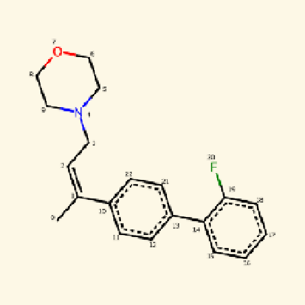 C/C(=C/CN1CCOCC1)c1ccc(-c2ccccc2F)cc1